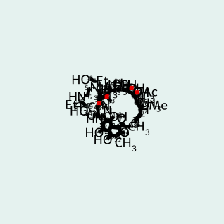 CC[C@@H](CO)NCCN[C@@H](CC)CO.CO[C@H]1/C=C/O[C@@]2(C)Oc3c(C)c(O)c4c(O)c(c(/C=N/N5CCN(C)CC5)c(O)c4c3C2=O)NC(=O)/C(C)=C\C=C\[C@H](C)[C@H](O)[C@@H](C)[C@@H](O)[C@@H](C)[C@H](OC(C)=O)[C@@H]1C